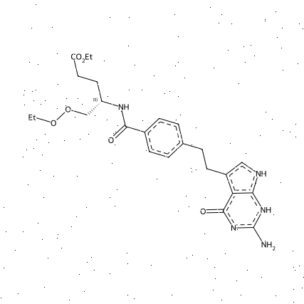 CCOOC[C@H](CCC(=O)OCC)NC(=O)c1ccc(CCc2c[nH]c3[nH]c(N)nc(=O)c23)cc1